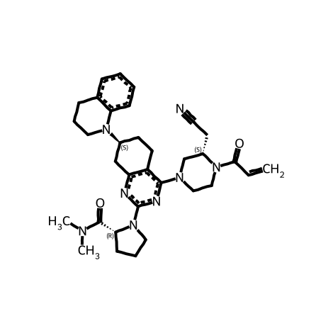 C=CC(=O)N1CCN(c2nc(N3CCC[C@@H]3C(=O)N(C)C)nc3c2CC[C@H](N2CCCc4ccccc42)C3)C[C@@H]1CC#N